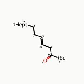 CCCCCCCCC/C=C/CC(=O)C(C)(C)C